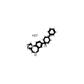 Cl.ClC1(c2ccc3c(c2)CNCc2nncn2-3)CCC(c2ccccc2)CC1